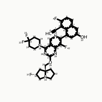 C#Cc1c(F)ccc2cc(O)cc(-c3ncc4c(N5CCC(F)(F)CC5)nc(OC[C@@]56CCCN5C[C@H](F)C6)nc4c3F)c12